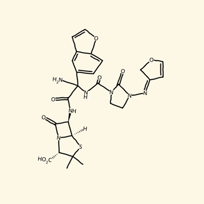 CC1(C)S[C@@H]2[C@H](NC(=O)C(N)(NC(=O)N3CCN(N=C4C=COC4)C3=O)c3ccc4occc4c3)C(=O)N2[C@H]1C(=O)O